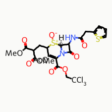 COC(=O)C(CC1C(OC(C)=O)=C(C(=O)OCC(Cl)(Cl)Cl)N2C(=O)C(NC(=O)Cc3cccs3)[C@@H]2[S+]1[O-])C(=O)OC